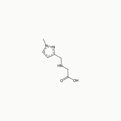 Cn1ccc(CNCC(=O)O)n1